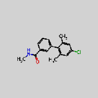 CNC(=O)c1cccc(-c2c(C)cc(Cl)cc2C)c1